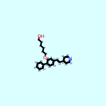 OCCCCCCOc1cc(C=Cc2ccncc2)ccc1-c1ccccc1